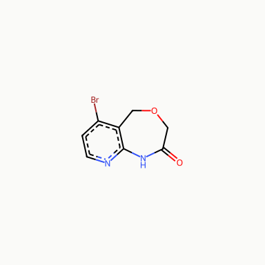 O=C1COCc2c(Br)ccnc2N1